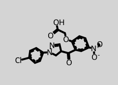 O=C(O)COc1ccc([N+](=O)[O-])cc1C(=O)C1C=NN(c2ccc(Cl)cc2)C1